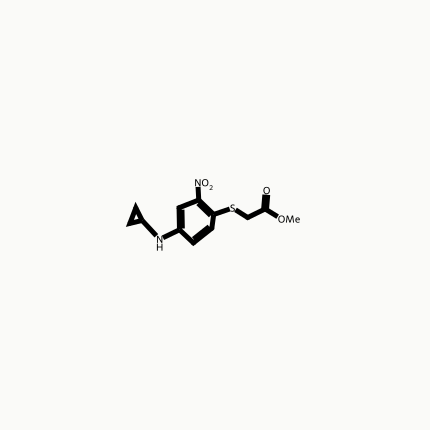 COC(=O)CSc1ccc(NC2CC2)cc1[N+](=O)[O-]